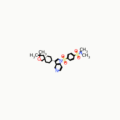 CN(C)S(=O)(=O)c1ccc(S(=O)(=O)n2cc([C@H]3CC[C@]4(CC3)COC(C)(C)C4)c3cnccc32)cc1